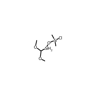 COC(OC)[SiH2]O[Si](C)(C)Cl